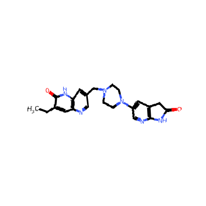 CCc1cc2ncc(CN3CCN(c4cnc5c(c4)CC(=O)N5)CC3)cc2[nH]c1=O